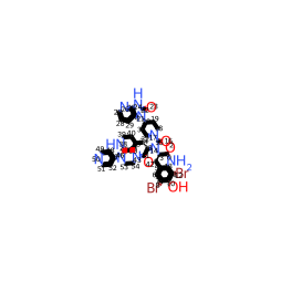 NC(=O)[C@@H](Cc1cc(Br)c(O)c(Br)c1)N(C(=O)N1CCC(n2c(=O)[nH]c3ncccc32)CC1)[C@@H](CC1CCNCC1)C(=O)N1CCN(c2ccncc2)CC1